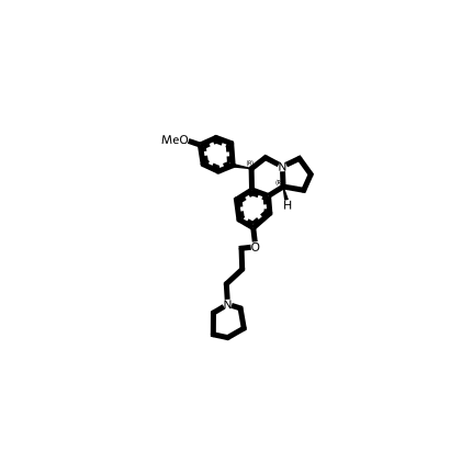 COc1ccc([C@H]2CN3CCC[C@@H]3c3cc(OCCCN4CCCCC4)ccc32)cc1